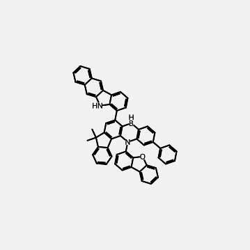 CC1(C)c2ccccc2-c2c1cc(-c1cccc3c1[nH]c1cc4ccccc4cc13)c1c2N(c2cccc3c2oc2ccccc23)c2cc(-c3ccccc3)ccc2B1